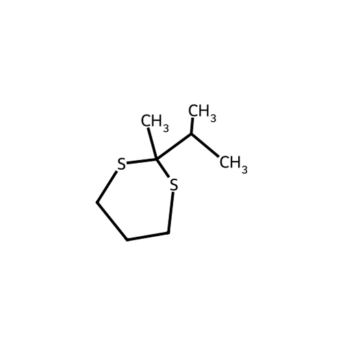 CC(C)C1(C)SCCCS1